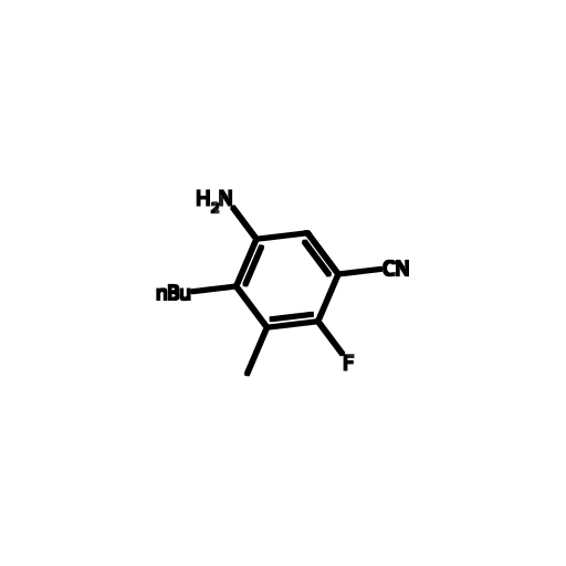 CCCCc1c(N)cc(C#N)c(F)c1C